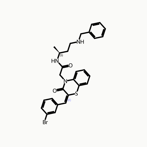 C[C@@H](CCNCc1ccccc1)NC(=O)CN1C(=O)/C(=C\c2cccc(Br)c2)Sc2ccccc21